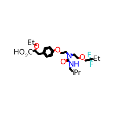 CCOC(Cc1ccc(OCCN(CCOCC(F)(F)CC)C(=O)NCC(C)C)cc1)C(=O)O